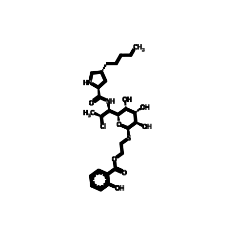 CCCCC[C@H]1CN[C@H](C(=O)N[C@@H]([C@H]2O[C@H](SCCOC(=O)c3ccccc3O)[C@H](O)[C@@H](O)[C@H]2O)[C@H](C)Cl)C1